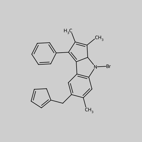 CC1=C(C)C2C(=C1c1ccccc1)c1cc(CC3=CC=CC3)c(C)cc1N2Br